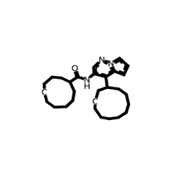 O=C(Nc1cnn2cccc2c1C1CCCCCCCCCC1)C1CCCCCCCCC1